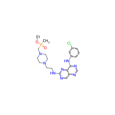 CCOP(C)(=O)CN1CCN(CCNc2ncc3ncnc(Nc4cccc(Cl)c4)c3n2)CC1